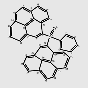 O=P(c1ccccc1)(c1cc2cccc3ccc4cccc1c4c32)c1cc2cccc3ccc4cccc1c4c32